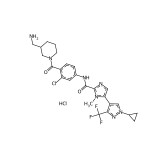 Cl.Cn1c(-c2cn(C3CC3)nc2C(F)(F)F)cnc1C(=O)Nc1ccc(C(=O)N2CCCC(CN)C2)c(Cl)c1